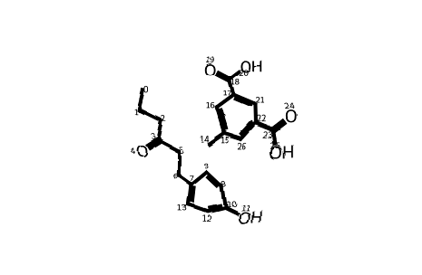 CCCC(=O)CCc1ccc(O)cc1.Cc1cc(C(=O)O)cc(C(=O)O)c1